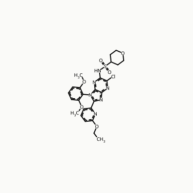 CCOc1cccc(-c2nc3nc(Cl)c(NS(=O)(=O)C4CCOCC4)nc3n2-c2c(OC)cccc2OC)n1